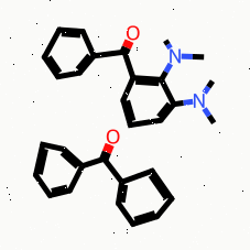 CN(C)c1cccc(C(=O)c2ccccc2)c1N(C)C.O=C(c1ccccc1)c1ccccc1